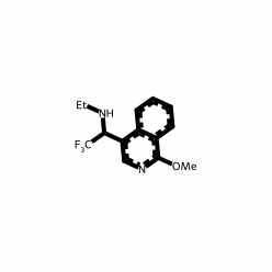 CCNC(c1cnc(OC)c2ccccc12)C(F)(F)F